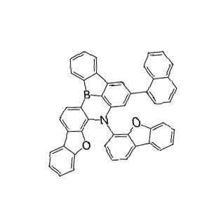 c1ccc2c(c1)B1c3ccc4c(oc5ccccc54)c3N(c3cccc4c3oc3ccccc34)c3cc(-c4cccc5ccccc45)cc-2c31